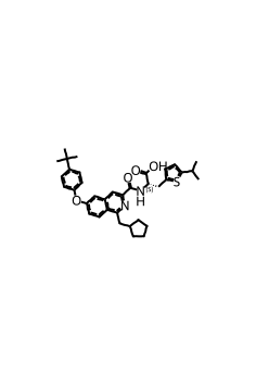 CC(C)c1ccc(C[C@H](NC(=O)c2cc3cc(Oc4ccc(C(C)(C)C)cc4)ccc3c(CC3CCCC3)n2)C(=O)O)s1